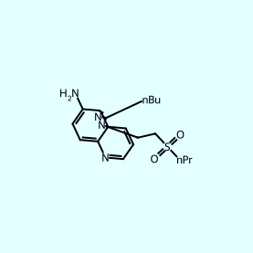 CCCCC1N=C2C(N)=CC=C3N=CC=CC32N1CCS(=O)(=O)CCC